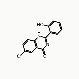 O=c1nc(-c2ccccc2O)[nH]c2ccc(Cl)cc12